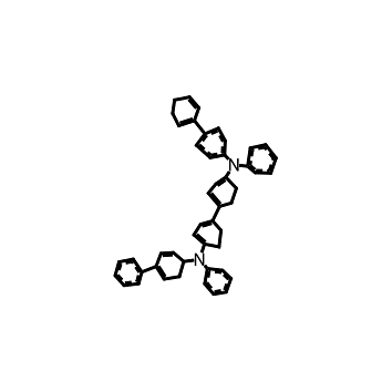 C1=CC(c2ccc(N(C3=CC=C(C4=CC=C(N(c5ccccc5)C5C=CC(c6ccccc6)=CC5)CC4)CC3)c3ccccc3)cc2)=CCC1